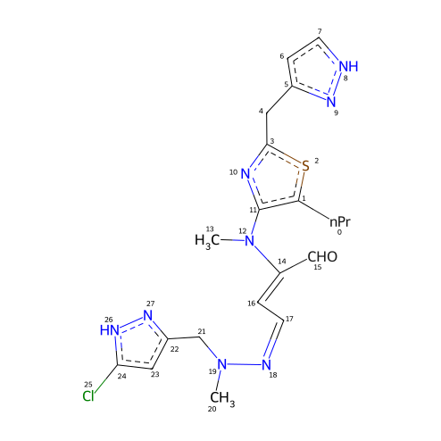 CCCc1sc(Cc2cc[nH]n2)nc1N(C)/C(C=O)=C/C=N\N(C)Cc1cc(Cl)[nH]n1